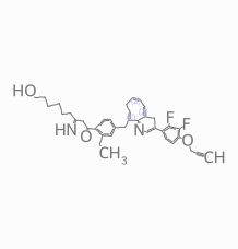 C#CCOc1ccc(C2=CN=C3/C(=C\C=C/C/C=C/3Cc3ccc(C(=O)CC(=N)CCCCCCO)c(CC)c3)C2)c(F)c1F